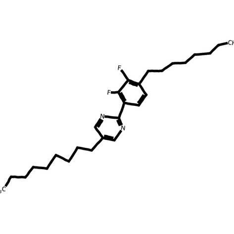 CCCCCCCCCc1cnc(-c2ccc(CCCCCCCC)c(F)c2F)nc1